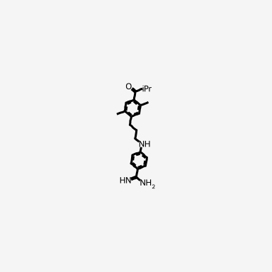 Cc1cc(C(=O)C(C)C)c(C)cc1CCCNc1ccc(C(=N)N)cc1